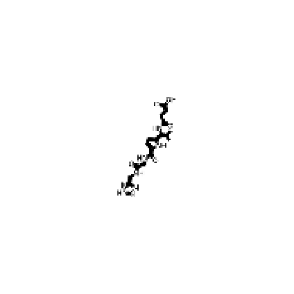 CC(C)C(NC(=O)CCC(=O)O)c1ccc(C(=O)NCC(=O)NCc2nn[nH]n2)[nH]1